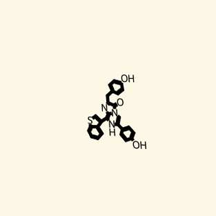 O=c1c(Cc2ccc(O)cc2)nc2c(-c3csc4ccccc34)[nH]c(-c3ccc(O)cc3)cn1-2